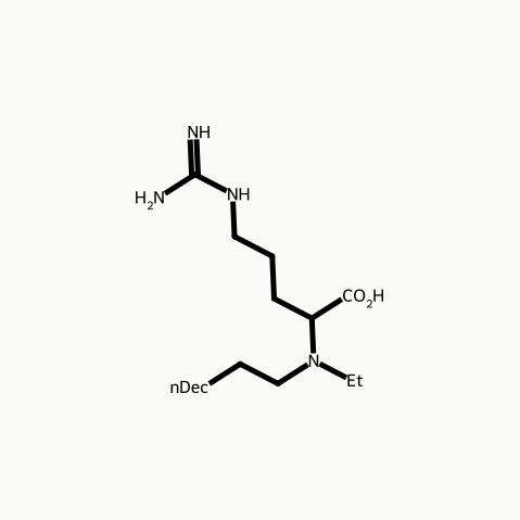 CCCCCCCCCCCCN(CC)C(CCCNC(=N)N)C(=O)O